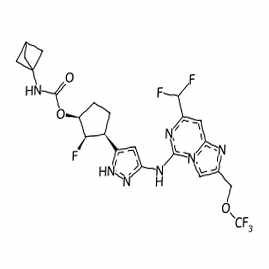 O=C(NC12CC(C1)C2)O[C@H]1CC[C@@H](c2cc(Nc3nc(C(F)F)cc4nc(COC(F)(F)F)cn34)n[nH]2)[C@H]1F